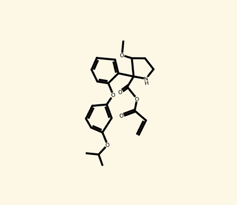 C=CC(=O)OC(=O)C1(c2ccccc2Oc2cccc(OC(C)C)c2)NCCC1OC